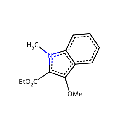 CCOC(=O)c1c(OC)c2ccccc2n1C